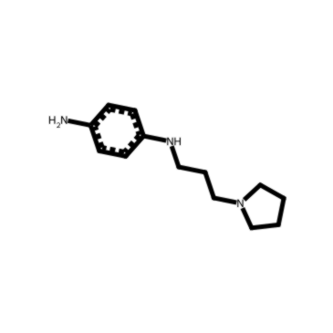 Nc1ccc(NCCCN2CCCC2)cc1